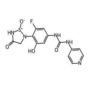 O=C1CN(c2c(O)cc(NC(=O)Nc3ccncc3)cc2F)[S+]([O-])N1